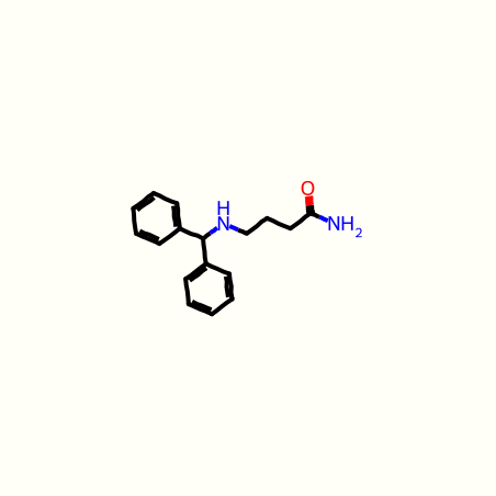 NC(=O)CCCNC(c1ccccc1)c1ccccc1